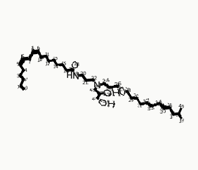 CCCCC/C=C\C/C=C\CCCCCCCC(=O)NCCCN(CCCOCCCCCCCCCCC(C)C)CC(O)CO